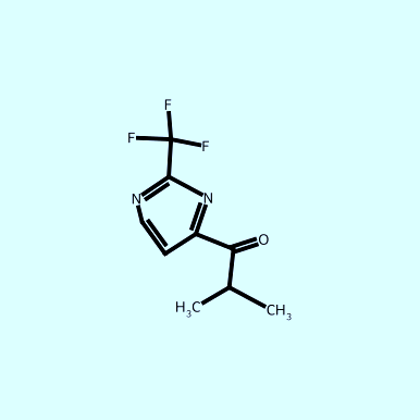 CC(C)C(=O)c1ccnc(C(F)(F)F)n1